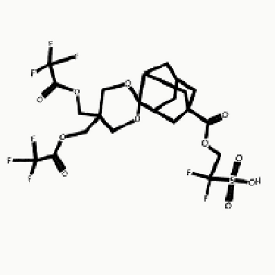 O=C(OCC1(COC(=O)C(F)(F)F)COC2(OC1)C1CC3CC2CC(C(=O)OCC(F)(F)S(=O)(=O)O)(C3)C1)C(F)(F)F